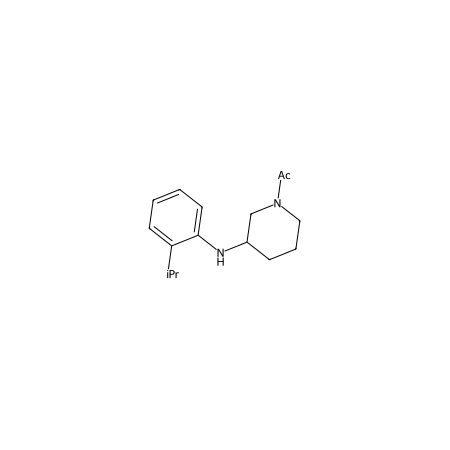 CC(=O)N1CCCC(Nc2ccccc2C(C)C)C1